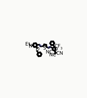 CCN(C)c1ccc(/C=C/c2ccc(/C=C/C3=C(C#N)C(=C(C#N)C#N)OC3(c3ccccc3)C(F)(F)F)s2)c(OCc2ccccc2)c1